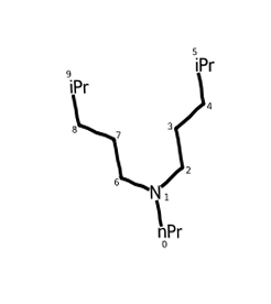 CCCN(CCCC(C)C)CCCC(C)C